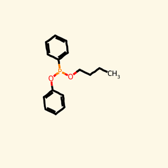 CCCCOP(Oc1ccccc1)c1ccccc1